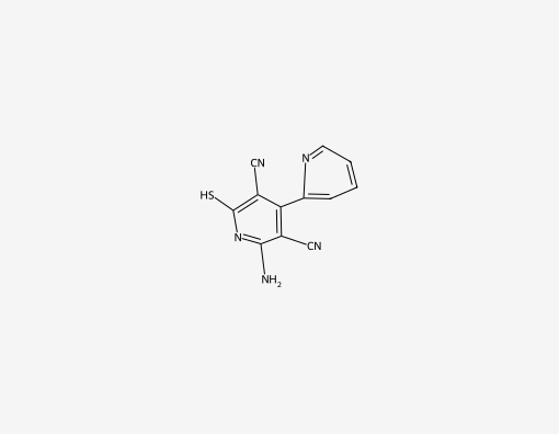 N#Cc1c(N)nc(S)c(C#N)c1-c1ccccn1